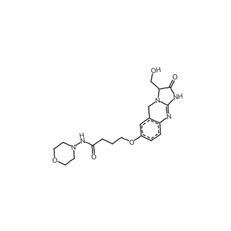 O=C(CCCOc1ccc2c(c1)CN1C(=N2)NC(=O)C1CO)NN1CCOCC1